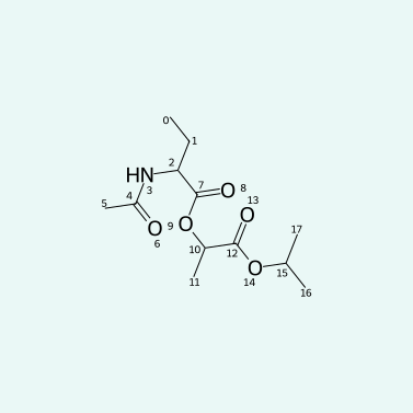 CCC(NC(C)=O)C(=O)OC(C)C(=O)OC(C)C